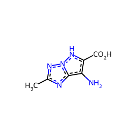 Cc1nc2c(N)c(C(=O)O)[nH]n2n1